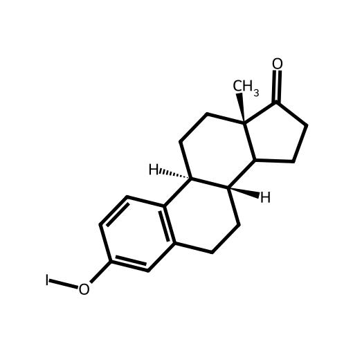 C[C@]12CC[C@@H]3c4ccc(OI)cc4CC[C@H]3C1CCC2=O